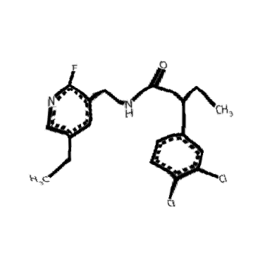 CCc1cnc(F)c(CNC(=O)C(CC)c2ccc(Cl)c(Cl)c2)c1